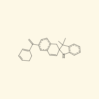 C=C(C1=CC=CCC1)c1ccc2c(c1)C=CC1(C2)Nc2ccccc2C1(C)C